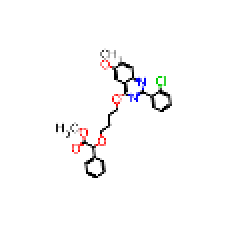 COC(=O)C(OCCCCOc1nc(-c2ccccc2Cl)nc2ccc(OC)cc12)c1ccccc1